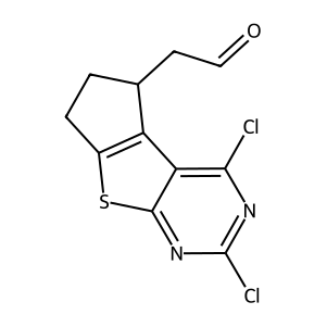 O=CCC1CCc2sc3nc(Cl)nc(Cl)c3c21